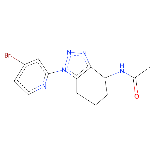 CC(=O)NC1CCCc2c1nnn2-c1cc(Br)ccn1